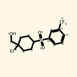 CCC1(CO)CCC(S(=O)(=O)c2cccc(C(F)(F)F)c2)CC1